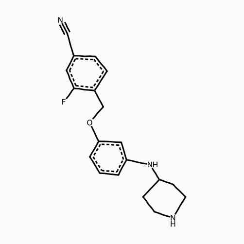 N#Cc1ccc(COc2cccc(NC3CCNCC3)c2)c(F)c1